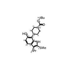 CCCc1c(SC)[nH]c2c(N3CCN(C(=O)OC(C)(C)C)CC3)c(O)ccc12